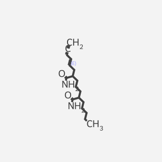 C=C=C/C=C/CC(CCCC(CCCCC)C(N)=O)C(N)=O